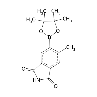 Cc1cc2c(cc1B1OC(C)(C)C(C)(C)O1)C(=O)NC2=O